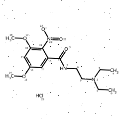 CCN(CC)CCNC(=O)c1cc(OC)cc(OC)c1[N+](=O)[O-].Cl